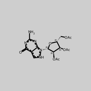 CC(=O)OC[C@H]1O[C@@H](n2[nH]cc3c(=O)nc(N)nc2-3)[C@H](OC(C)=O)[C@@H]1OC(C)=O